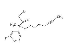 CC#CCCCCCC(C)(C(=O)CBr)c1cccc(I)c1